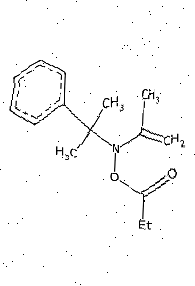 C=C(C)N(OC(=O)CC)C(C)(C)c1ccccc1